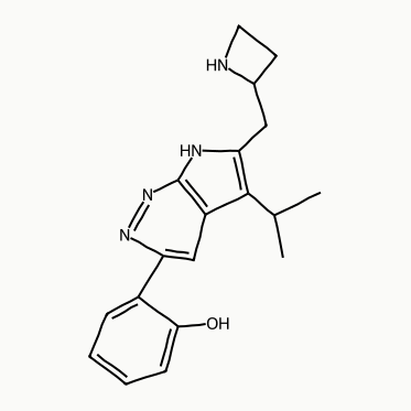 CC(C)c1c(CC2CCN2)[nH]c2nnc(-c3ccccc3O)cc12